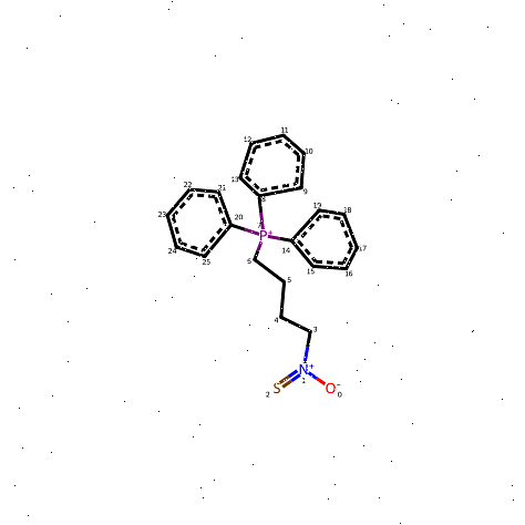 [O-][N+](=S)CCCC[P+](c1ccccc1)(c1ccccc1)c1ccccc1